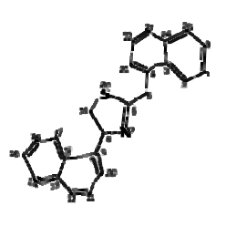 c1ccc2c(CC3=NC(c4cccc5ccccc45)CS3)cccc2c1